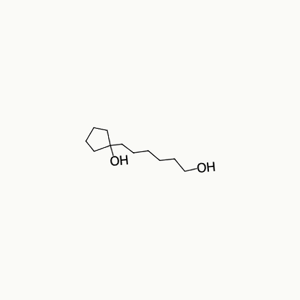 OCCCCCCC1(O)CCCC1